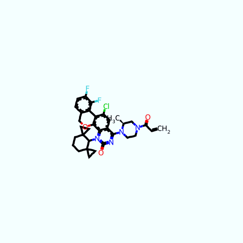 C=CC(=O)N1CCN(c2nc(=O)n(C3C4(CCCC35CC5)CC4)c3c4c(c(Cl)cc23)-c2c(ccc(F)c2F)CO4)[C@@H](C)C1